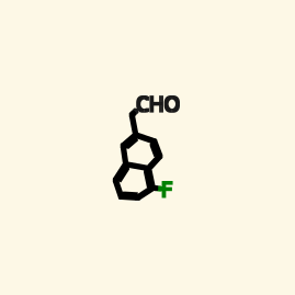 O=CCc1ccc2c(F)cccc2c1